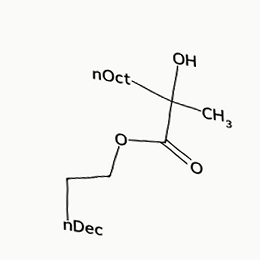 CCCCCCCCCCCCOC(=O)C(C)(O)CCCCCCCC